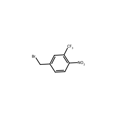 O=[N+]([O-])c1ccc(CBr)cc1C(F)(F)F